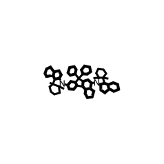 CC12CCCCC1(C)N(c1ccc3c(c1)C(c1ccccc1)(c1ccccc1)c1cc(N4c5ccc6ccccc6c5C5(C)CCCCC45C)c4ccccc4c1-3)c1ccc3ccccc3c12